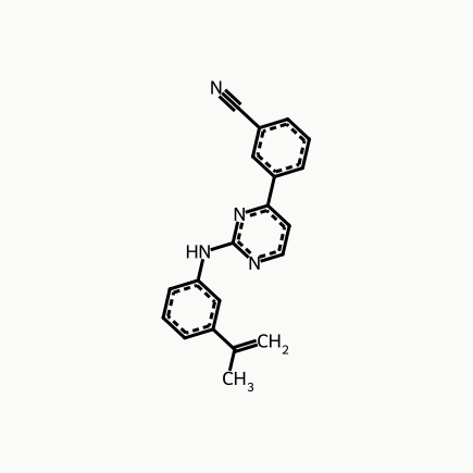 C=C(C)c1cccc(Nc2nccc(-c3cccc(C#N)c3)n2)c1